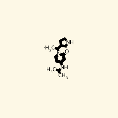 [CH2]C(C1CCNC1)n1ccc(NC(C)C)cc1=O